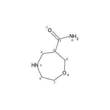 NC(=O)C1CNCCOC1